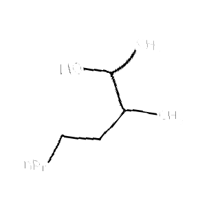 CCCCCC(C)[C](C)O